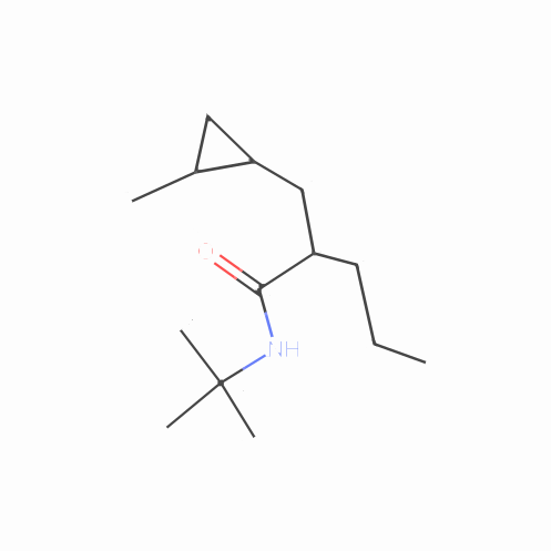 CCCC(CC1CC1C)C(=O)NC(C)(C)C